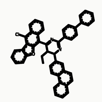 CCC1C(c2c3ccccc3c(Cl)c3c2oc2ccccc23)=NC(c2ccc(-c3ccccc3)cc2)=NC1c1ccc2c(ccc3ccccc32)c1